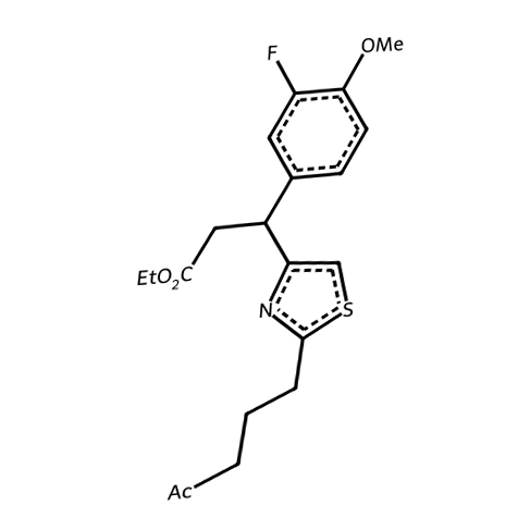 CCOC(=O)CC(c1ccc(OC)c(F)c1)c1csc(CCCC(C)=O)n1